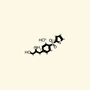 Cl.NC(CO)Cc1ccc(S(=O)(=O)c2cccs2)cc1